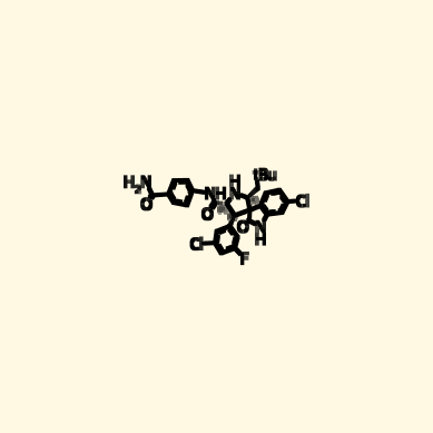 CC(C)(C)C[C@@H]1N[C@@H](C(=O)Nc2ccc(C(N)=O)cc2)[C@H](c2cc(F)cc(Cl)c2)C12C(=O)Nc1cc(Cl)ccc12